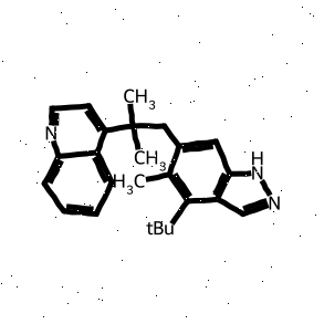 Cc1c(CC(C)(C)c2ccnc3ccccc23)cc2[nH]ncc2c1C(C)(C)C